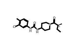 CC[C@H](C)C(=O)N1CCC(NC(=O)Nc2ccc(C)c(Cl)c2)CC1